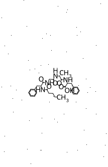 CCCCC(=O)NC(Cc1ccccc1)C(=O)NCC(=O)NC(C)C(=O)NC(Cc1ccccc1)C(=O)O